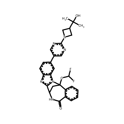 CC(C)(O)C1CN(c2ncc(-c3ccc4nc5n(c4c3)C3(OC(F)F)CC5NC(=O)c4ccccc43)cn2)C1